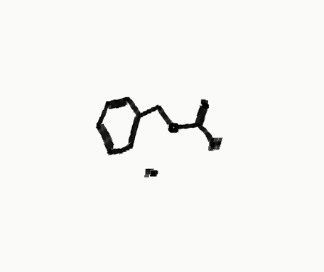 S=C(S)OCc1ccccc1.[Fe]